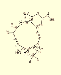 CCOC1C=C2/C=C/C[C@@H]3OC(C)(C)O[C@@H]3C(O)/C=C\[C@@H](C)[C@H](C)OC(=O)C2=C(C)C1